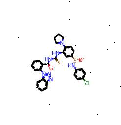 O=C(NC(=S)Nc1cc([S+]([O-])Nc2ccc(Cl)cc2)ccc1N1CCCC1)c1ccccc1-n1nnc2ccccc21